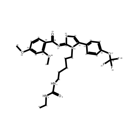 CCNC(=O)NCCCCCn1c(-c2ccc(OC(F)(F)F)cc2)cs/c1=N\C(=O)c1ccc(OC)cc1OC